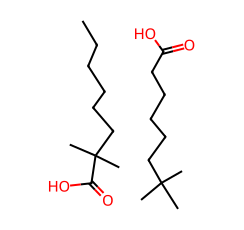 CC(C)(C)CCCCCC(=O)O.CCCCCCC(C)(C)C(=O)O